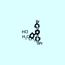 CCCN1CCN(c2ccc(N3CCC(Br)CC3)cc2C2CCC(C)(C)CC2)CC1.Cl